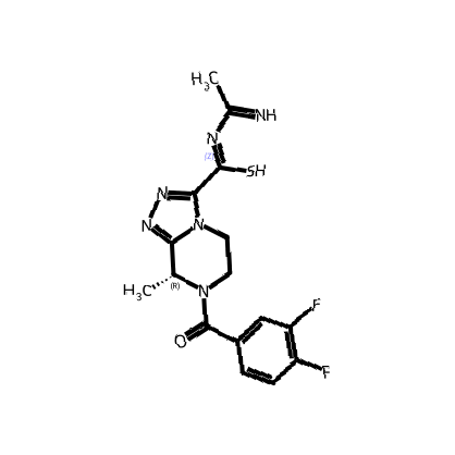 CC(=N)/N=C(\S)c1nnc2n1CCN(C(=O)c1ccc(F)c(F)c1)[C@@H]2C